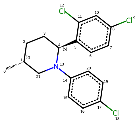 C[C@@H]1CC[C@@H](c2ccc(Cl)cc2Cl)N(c2ccc(Cl)cc2)C1